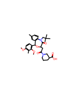 COc1ccc(C2OC(CC(=O)N3CCCC(C(=O)O)C3)C(=O)N(CC(C)(C)C)c3ccc(C)cc32)c(OC)c1C